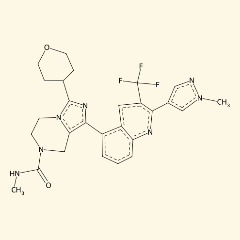 CNC(=O)N1CCn2c(C3CCOCC3)nc(-c3cccc4nc(-c5cnn(C)c5)c(C(F)(F)F)cc34)c2C1